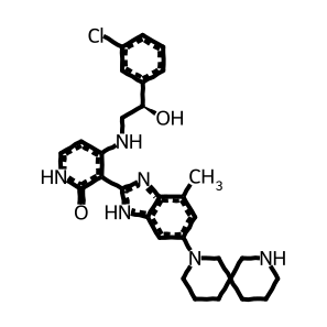 Cc1cc(N2CCCC3(CCCNC3)C2)cc2[nH]c(-c3c(NC[C@H](O)c4cccc(Cl)c4)cc[nH]c3=O)nc12